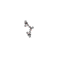 Cc1cc2nc(-c3ccccc3)c(-c3ccc(-c4ccc(N(c5ccccc5)c5ccc(-c6ccc(-c7nc8cc(C)c(C)cc8nc7-c7ccccc7)cc6)cc5)cc4)cc3)nc2cc1C